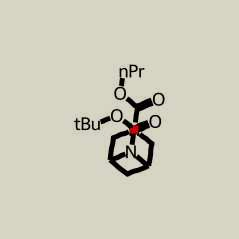 CCCOC(=O)N1CC2CC(C1)N2C(=O)OC(C)(C)C